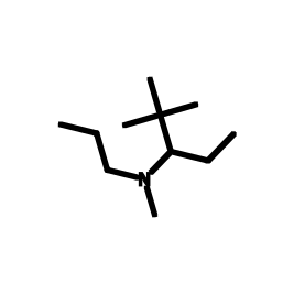 CCCN(C)C(CC)C(C)(C)C